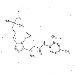 Cc1ccc(NC(=O)C[C@H](N)c2nnc(CCCC(C)(C)C)n2C2CC2)c(C)c1